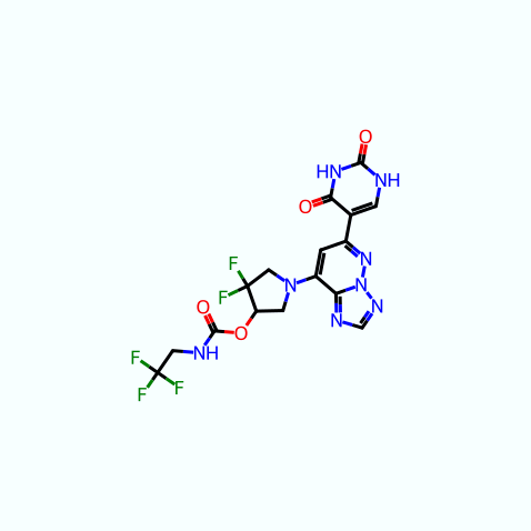 O=C(NCC(F)(F)F)OC1CN(c2cc(-c3c[nH]c(=O)[nH]c3=O)nn3ncnc23)CC1(F)F